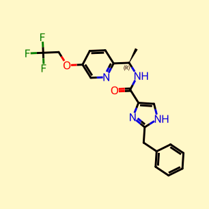 C[C@@H](NC(=O)c1c[nH]c(Cc2ccccc2)n1)c1ccc(OCC(F)(F)F)cn1